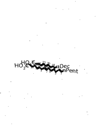 CCCCCC=CCC=CCC=CCC=CCCCC(=O)O.CCCCCCCCCCCC=CC=CC=CC=CC(=O)O